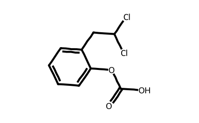 O=C(O)Oc1ccccc1CC(Cl)Cl